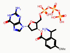 COc1ccc(C(=O)O[C@@H]2C[C@H](n3cnc4c(=O)[nH]c(N)nc43)OC2COP(=O)(O)OP(=O)(O)OP(=O)(O)O)c(C(C)N)c1